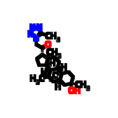 Cc1nnnn1CC(=O)[C@H]1CC[C@H]2[C@@H]3[C@H](C)C[C@H]4C[C@](C)(O)CC[C@]4(C)[C@H]3CC[C@]12C